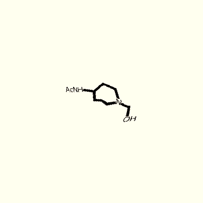 CC(=O)NC1CCN(CO)CC1